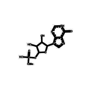 COP(=O)(O)OC1OC(n2cnc3c(=O)[nH]cnc32)C(O)C1O